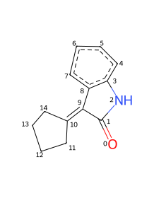 O=C1Nc2ccccc2C1=C1CCCC1